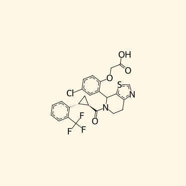 O=C(O)COc1ccc(Cl)cc1C1c2scnc2CCN1C(=O)[C@@H]1C[C@H]1c1ccccc1C(F)(F)F